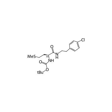 CSCC[C@H](NC(=O)OC(C)(C)C)C(=O)NCCc1ccc(Cl)cc1